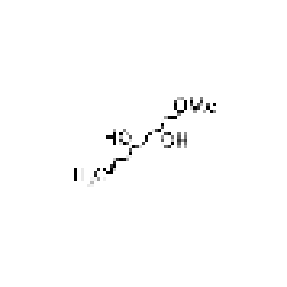 [CH2]C=CCC(O)CCC(O)CCOC